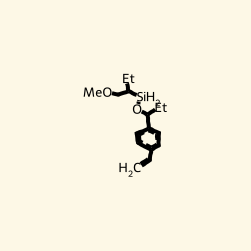 C=Cc1ccc(C(CC)O[SiH2]C(CC)COC)cc1